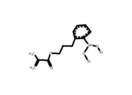 C=C(C)C(=O)OCCCc1ccccc1[SiH](OCC)OCC